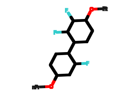 CCCOC1CCC(C2CCC(OCC)C(F)C2F)C(F)C1